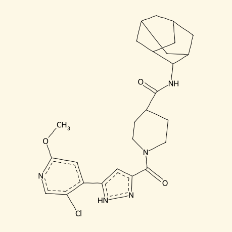 COc1cc(-c2cc(C(=O)N3CCC(C(=O)NC4C5CC6CC(C5)CC4C6)CC3)n[nH]2)c(Cl)cn1